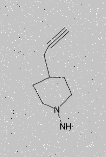 C#CCC1CCN([NH])CC1